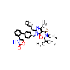 CCCCc1nc(C)c(C(=S)N(C)CC(C)C)c(=O)n1Cc1ccc(-c2ccccc2-c2coc(=O)[nH]2)cc1